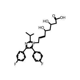 CC(C)c1nc(-c2ccc(F)cc2)c(-c2ccc(F)cc2)n1CC=CC(O)CC(O)CC(=O)O